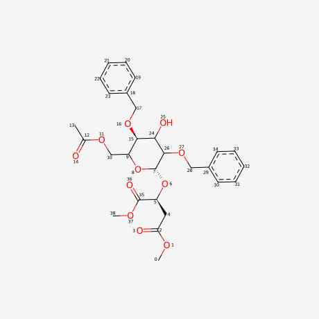 COC(=O)C[C@H](O[C@@H]1OC(COC(C)=O)[C@@H](OCc2ccccc2)C(O)C1OCc1ccccc1)C(=O)OC